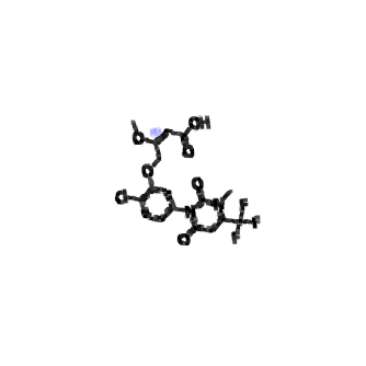 CO/C(=C/C(=O)O)COc1cc(-n2c(=O)cc(C(F)(F)F)n(C)c2=O)ccc1Cl